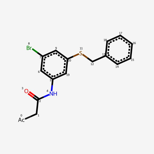 CC(=O)CC(=O)Nc1cc(Br)cc(SCc2ccccc2)c1